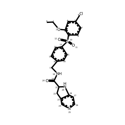 CCOc1cc(Cl)ccc1S(=O)(=O)c1ccc(CNC(=O)C2Cc3cnccc3N2)cc1